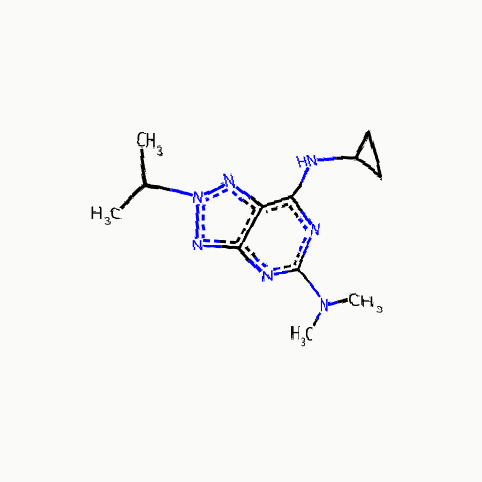 CC(C)n1nc2nc(N(C)C)nc(NC3CC3)c2n1